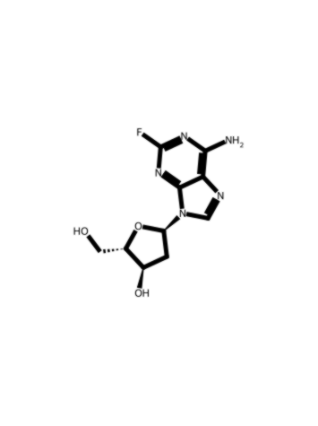 Nc1nc(F)nc2c1ncn2[C@H]1C[C@@H](O)[C@H](CO)O1